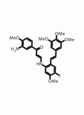 COc1ccc(C(=O)C=CNc2cc(OC)c(F)cc2C=Cc2cc(OC)c(OC)c(OC)c2)cc1N